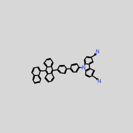 N#Cc1ccc2c(c1)c1cc(C#N)ccc1n2-c1ccc(-c2ccc(-c3c4ccccc4c(-c4cccc5ccccc45)c4ccccc34)cc2)cc1